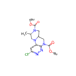 CC1CN2c3cc(Cl)nnc3N(C(=O)OC(C)(C)C)CC2CN1C(=O)OC(C)(C)C